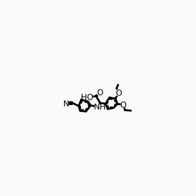 CCOc1ccc(C(Nc2ccc(C#N)cc2)C(=O)O)cc1OCC